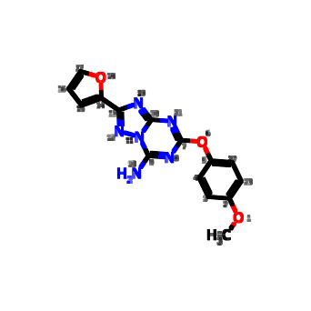 COc1ccc(Oc2nc(N)n3nc(-c4ccco4)nc3n2)cc1